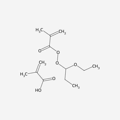 C=C(C)C(=O)O.C=C(C)C(=O)OOC(CC)OCC